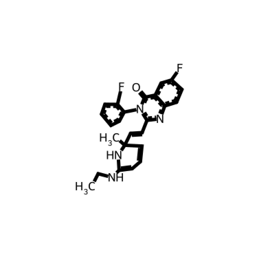 CCNC1=CC=CC(C)(C=Cc2nc3ccc(F)cc3c(=O)n2-c2ccccc2F)N1